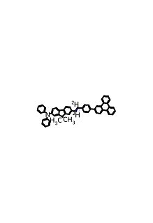 [2H]/C(=C(/[2H])c1ccc2c(c1)C(C)(C)c1cc(N(c3ccccc3)c3ccccc3)ccc1-2)c1ccc(-c2ccc3c4ccccc4c4ccccc4c3c2)cc1